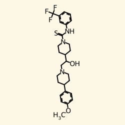 COc1ccc(C2CCN(CC(O)C3CCN(C(=S)Nc4cccc(C(F)(F)F)c4)CC3)CC2)cc1